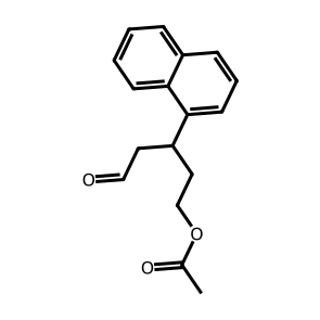 CC(=O)OCCC(CC=O)c1cccc2ccccc12